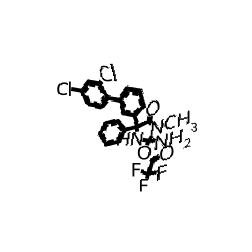 CN1C(=O)C(c2ccccc2)(c2cccc(-c3ccc(Cl)cc3Cl)c2)NC1(N)OC(=O)C(F)(F)F